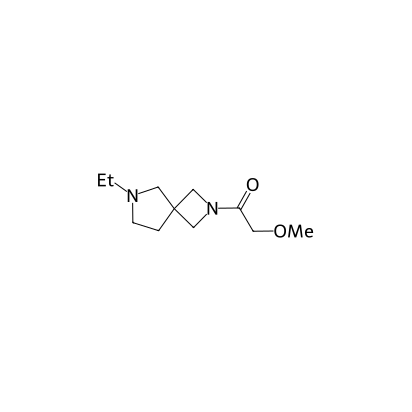 CCN1CCC2(C1)CN(C(=O)COC)C2